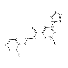 O=C(NNSc1ccccc1F)c1cc(F)cc(-n2cccn2)c1